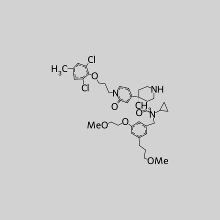 COCCCc1cc(CN(C(=O)[C@H]2CNCC[C@]2(C)c2ccn(CCCOc3c(Cl)cc(C)cc3Cl)c(=O)c2)C2CC2)cc(OCCOC)c1